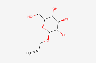 C=CCO[C@H]1OC(CO)[C@H](O)[C@@H](O)C1O